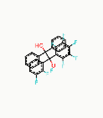 OC(c1ccccc1)(c1ccccc1)C(OF)(c1cccc(F)c1F)c1c(F)c(F)c(F)c(F)c1F